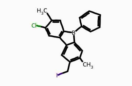 Cc1cc2c(cc1Cl)-c1cc(CI)c(C)cc1B2c1ccccc1